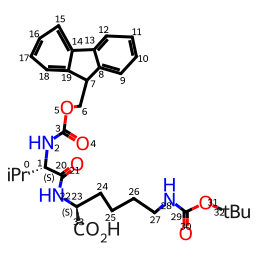 CC(C)[C@H](NC(=O)OCC1c2ccccc2-c2ccccc21)C(=O)N[C@@H](CCCCNC(=O)OC(C)(C)C)C(=O)O